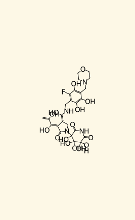 C=C(O)/C(O)=C1/C(=O)N(C2(O)C(=O)NC(=O)C(O)(O)C2(O)O)C/C1=C(/O)NCc1c(O)c(O)c(CN2CCOCC2)c(O)c1F